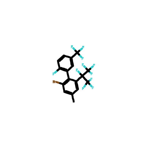 Cc1[c]c(Br)c(-c2cc(C(F)(F)F)ccc2F)c(C(F)(C(F)(F)F)C(F)(F)F)c1